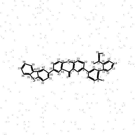 C=C1c2cc(-c3ccc(C)c(-c4ccccc4/C(C)=C\C)c3)ccc2Sc2ccc(-c3ccc4sc5ccccc5c4c3)cc21